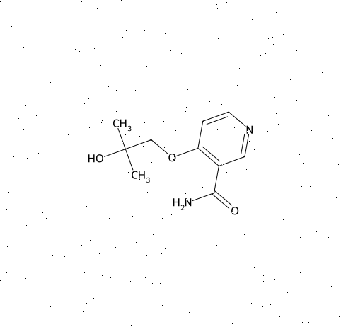 CC(C)(O)COc1ccncc1C(N)=O